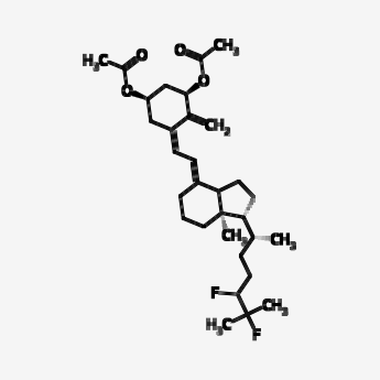 C=C1/C(=C\C=C2CCC[C@@]3(C)C2CC[C@@H]3[C@H](C)CCC(F)C(C)(C)F)C[C@@H](OC(C)=O)C[C@H]1OC(C)=O